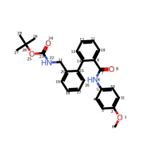 COc1ccc(NC(=O)c2ccccc2-c2ccccc2CNC(=O)OC(C)(C)C)cc1